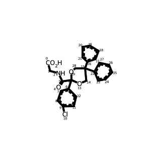 O=C(O)CNC(=O)C1(c2ccc(Cl)cc2)OCC(c2ccccc2)(c2ccccc2)CO1